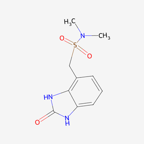 CN(C)S(=O)(=O)Cc1cccc2[nH]c(=O)[nH]c12